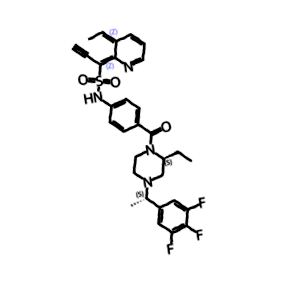 C#C/C(=c1/nccc/c1=C/C)S(=O)(=O)Nc1ccc(C(=O)N2CCN([C@@H](C)c3cc(F)c(F)c(F)c3)C[C@@H]2CC)cc1